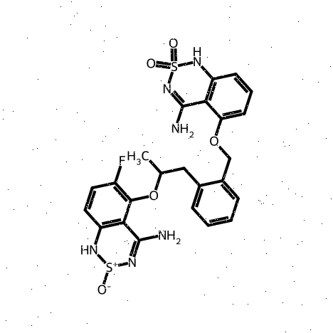 CC(Cc1ccccc1COc1cccc2c1C(N)=NS(=O)(=O)N2)Oc1c(F)ccc2c1C(N)=N[S+]([O-])N2